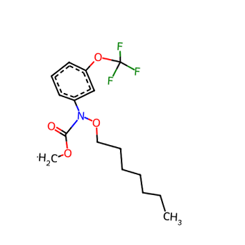 [CH2]OC(=O)N(OCCCCCCC)c1cccc(OC(F)(F)F)c1